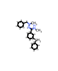 CN/C(=N\N(C)Cc1ccccc1)c1cccc([SiH2]c2ccccc2)c1